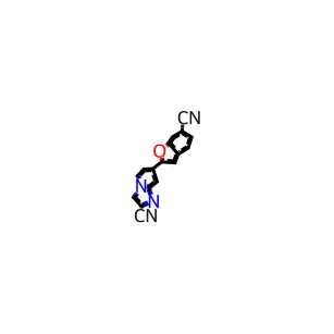 N#Cc1ccc2cc(-c3ccn4cc(C#N)nc4c3)oc2c1